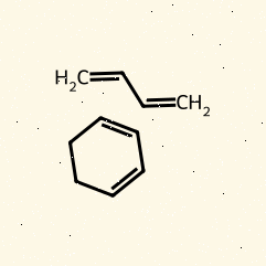 C1=CCCC=C1.C=CC=C